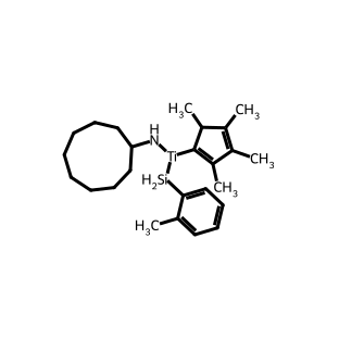 CC1=C(C)C(C)[C]([Ti]([NH]C2CCCCCCCC2)[SiH2]c2ccccc2C)=C1C